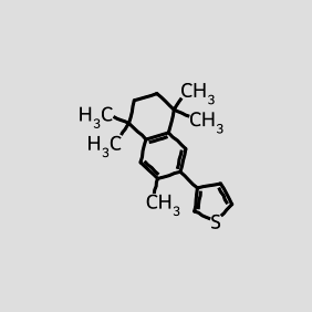 Cc1cc2c(cc1-c1ccsc1)C(C)(C)CCC2(C)C